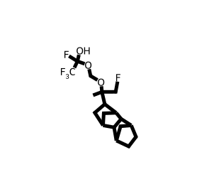 CC(CF)(OCOC(O)(F)C(F)(F)F)C1CC2CC1C1C3CCC(C3)C21